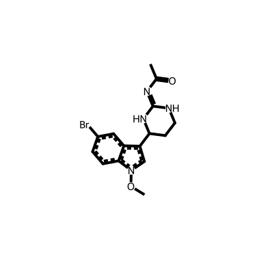 COn1cc(C2CCNC(=NC(C)=O)N2)c2cc(Br)ccc21